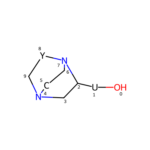 [OH][U][CH]1CN2CC[N]1[Y][CH2]2